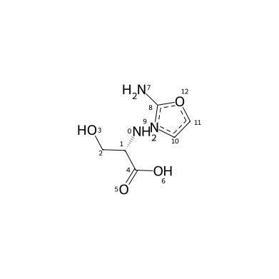 N[C@@H](CO)C(=O)O.Nc1ncco1